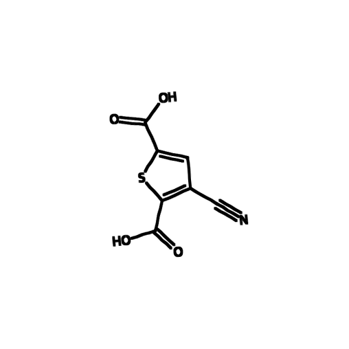 N#Cc1cc(C(=O)O)sc1C(=O)O